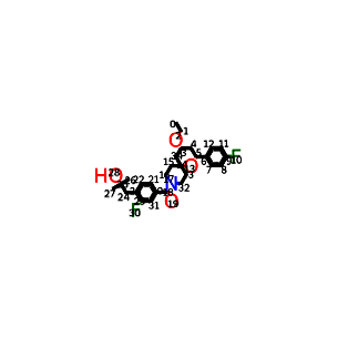 CCOC1CC(c2ccc(F)cc2)OC2(CCN(C(=O)c3ccc(CC(C)(C)O)c(F)c3)CC2)C1